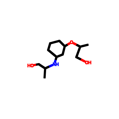 CC(CO)NC1CCCC(OC(C)CO)C1